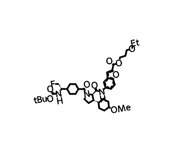 CCOCCCOC(=O)c1cc2cc(NC(=O)[C@H]3[C@H](C4CCC(OC)CC4)CCN3C(=O)C3CCC([C@@H](CF)NC(=O)OC(C)(C)C)CC3)ccc2o1